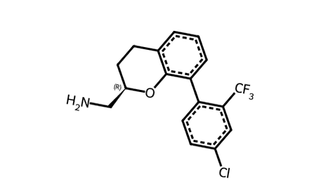 NC[C@H]1CCc2cccc(-c3ccc(Cl)cc3C(F)(F)F)c2O1